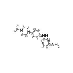 CC(C)N1CCN(c2ccc(Nc3nc[c]c(N)n3)cc2)CC1